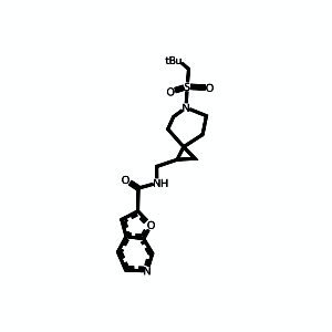 CC(C)(C)CS(=O)(=O)N1CCC2(CC1)CC2CNC(=O)c1cc2ccncc2o1